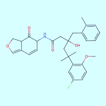 COc1ccc(F)cc1C(C)(C)CC(O)(CC(=O)NC1C=CC2=COCC2C1=O)Cc1ccccc1C